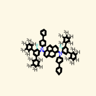 [2H]c1c([2H])c([2H])c(-c2cc(-c3c([2H])c([2H])c([2H])c([2H])c3[2H])c(F)c(N(c3ccc(-c4ccccc4)cc3)c3ccc4ccc5c(N(c6ccc(-c7ccccc7)cc6)c6cc(-c7c([2H])c([2H])c([2H])c([2H])c7[2H])cc(-c7c([2H])c([2H])c([2H])c([2H])c7[2H])c6F)ccc6ccc3c4c65)c2)c([2H])c1[2H]